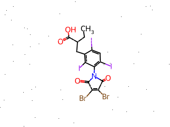 CCC(Cc1c(I)cc(I)c(N2C(=O)C(Br)=C(Br)C2=O)c1I)C(=O)O